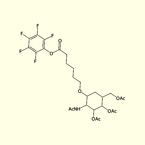 CC(=O)NC1C(OCCCCCC(=O)Oc2c(F)c(F)c(F)c(F)c2F)CC(COC(C)=O)C(OC(C)=O)C1OC(C)=O